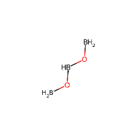 BOBOB